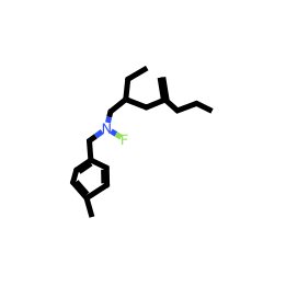 C=C(CCC)CC(CC)CN(F)Cc1ccc(C)cc1